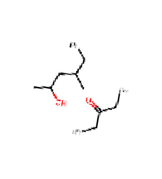 CC(C)CC(=O)CC(C)C.CC(C)CC(C)CC(C)O